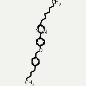 CCCCCCCc1cnc(-c2ccc(OCc3ccc(CCCCC)cc3)cc2)nc1